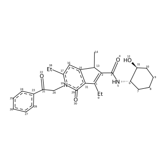 CCC1=C(C(=O)N[C@H]2CCCC[C@@H]2O)C(C)c2cc(CC)n(CC(=O)c3ccccc3)c(=O)c21